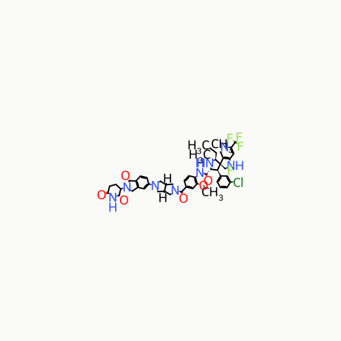 COc1cc(C(=O)N2C[C@@H]3CN(c4ccc5c(c4)CN(C4CCC(=O)NC4=O)C5=O)C[C@@H]3C2)ccc1NC(=O)[C@@H]1N[C@@H](CC(C)(C)C)[C@@]2(CNc3cc(C(F)(F)F)ncc32)[C@H]1c1cccc(Cl)c1F